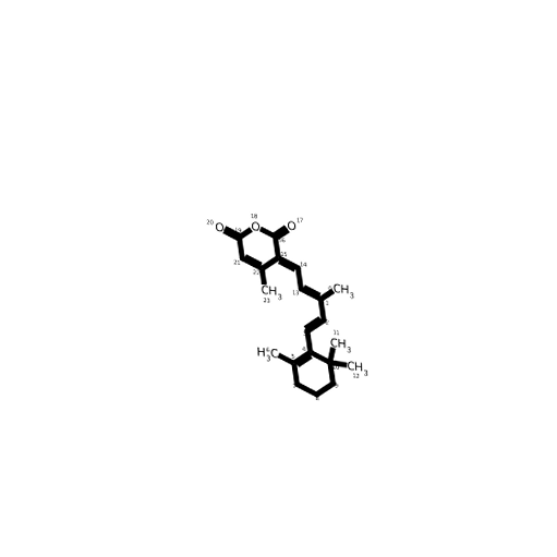 CC(C=CC1=C(C)CCCC1(C)C)=CC=C1C(=O)OC(=O)C=C1C